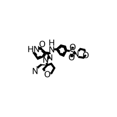 N#CC[C@@]1(n2nc(Nc3ccc(S(=O)(=O)N4CCOCC4)cc3)c3c(=O)[nH]ccc32)CCCOC1